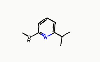 CBc1cccc(C(C)C)n1